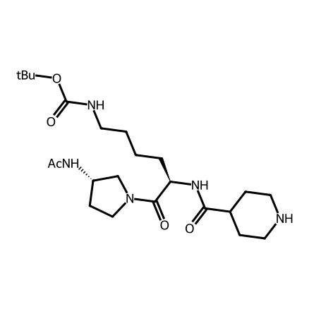 CC(=O)N[C@H]1CCN(C(=O)[C@@H](CCCCNC(=O)OC(C)(C)C)NC(=O)C2CCNCC2)C1